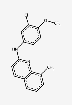 Cc1cccc2ccc(Nc3ccc(OC(F)(F)F)c(Cl)c3)nc12